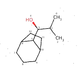 CC(C)[C@H](O)C1C2CCCC1CC2